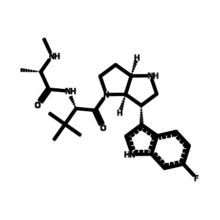 CN[C@@H](C)C(=O)N[C@H](C(=O)N1CC[C@H]2NC[C@H](c3c[nH]c4cc(F)ccc34)[C@H]21)C(C)(C)C